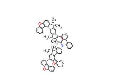 CC1(C)c2cc(N(c3ccc4c(c3)C(C)(C)c3cc(-c5cccc6oc7ccccc7c56)c5oc6ccccc6c5c3-4)c3ccccc3-c3ccccc3)ccc2-c2cc3c(cc21)-c1c(ccc2oc4ccccc4c12)C3(C)C